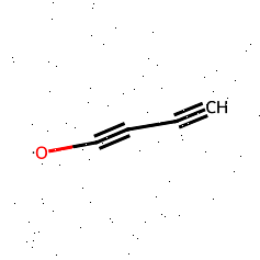 C#CC#C[O]